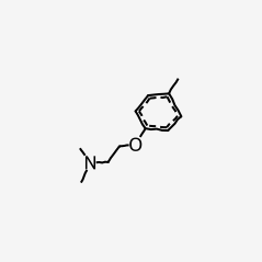 Cc1ccc(OCCN(C)C)cc1